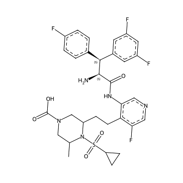 CC1CN(C(=O)O)CC(CCc2c(F)cncc2NC(=O)[C@@H](N)[C@@H](c2ccc(F)cc2)c2cc(F)cc(F)c2)N1S(=O)(=O)C1CC1